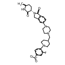 C=C1CC[C@H](N2Cc3cc(N4CCN(CC5CCN(c6ccc([N+](=O)[O-])cc6F)CC5)CC4)ccc3C2=O)C(=O)N1